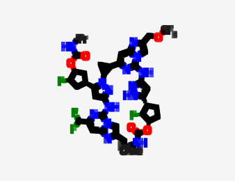 COCc1cn2c(Nc3cc([C@H]4C[C@@H](F)[C@@H](OC(=O)NC(C)C)C4)n(C4CC4c4cc5nc(COC(F)(F)F)cn5c(Nc5cc([C@@H]6CC[C@H](OC(=O)NC(C)C)[C@@H]6F)[nH]n5)n4)n3)nc(C(F)F)cc2n1